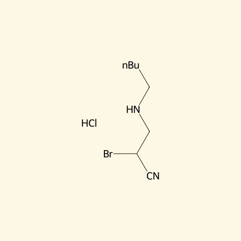 CCCCCNCC(Br)C#N.Cl